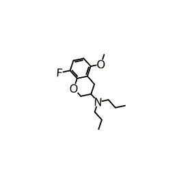 CCCN(CCC)C1COc2c(F)ccc(OC)c2C1